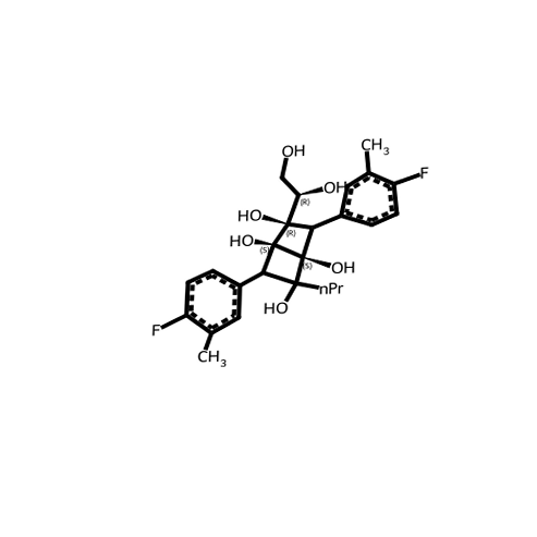 CCCC1(O)C(c2ccc(F)c(C)c2)[C@]2(O)[C@](O)([C@H](O)CO)C(c3ccc(F)c(C)c3)[C@]12O